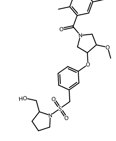 COC1CN(C(=O)c2cc(C)ccc2C)CC1Oc1cccc(CS(=O)(=O)N2CCCC2CO)c1